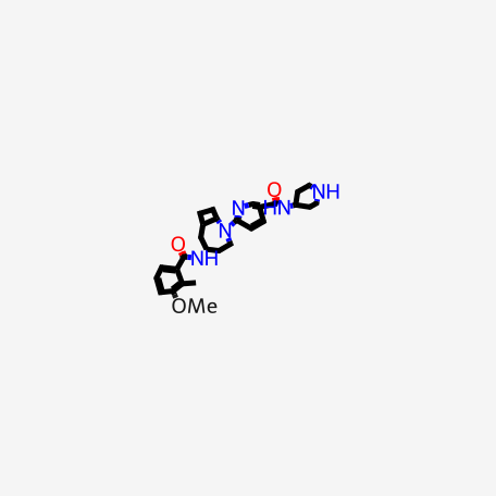 COc1cccc(C(=O)NC2CCN(c3ccc(C(=O)NC4CCNCC4)cn3)C3CCC3C2)c1C